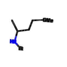 CCNC(C)CCOC